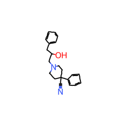 N#CC1(c2ccccc2)CCN(CC(O)Cc2ccccc2)CC1